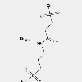 O=C(CCS(=O)(=O)O)NCCCS(=O)(=O)O.[KH].[KH]